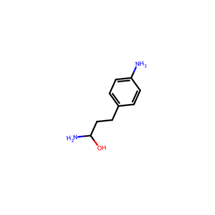 Nc1ccc(CCC(N)O)cc1